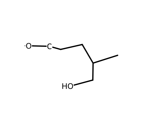 CC(CO)CCC[O]